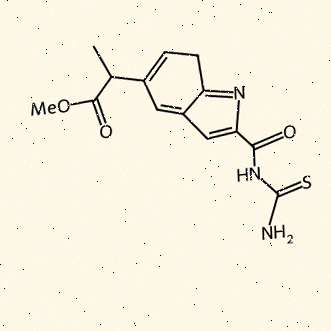 COC(=O)C(C)C1=CCC2=NC(C(=O)NC(N)=S)=CC2=C1